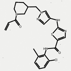 C=CC(=O)N1CCCC(Cn2cc(Nc3ncc(C(=O)Nc4c(C)cccc4Cl)s3)cn2)C1